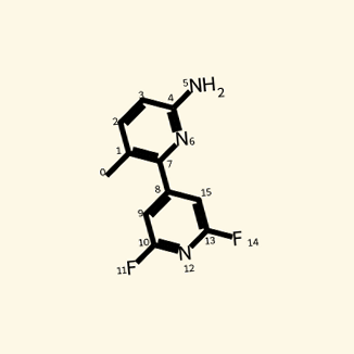 Cc1ccc(N)nc1-c1cc(F)nc(F)c1